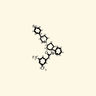 O=C(Cc1cc(C(F)(F)F)cc(C(F)(F)F)c1)N[C@]1(c2ccccc2)CC[C@H](N2CCC(c3ccc(F)cc3)CC2)CC1